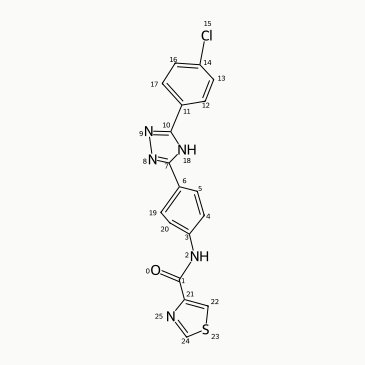 O=C(Nc1ccc(-c2nnc(-c3ccc(Cl)cc3)[nH]2)cc1)c1cscn1